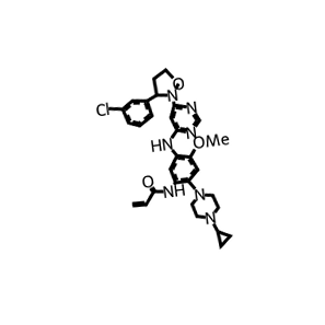 C=CC(=O)Nc1cc(Nc2cc(N3OCCC3c3cccc(Cl)c3)ncn2)c(OC)cc1N1CCN(C2CC2)CC1